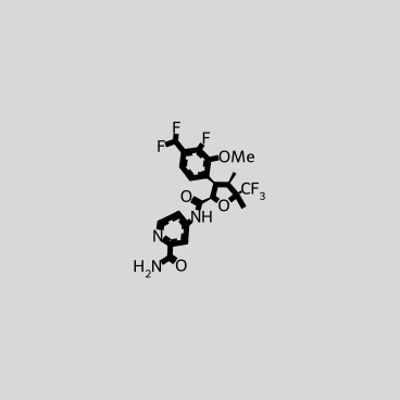 COc1c([C@H]2[C@@H](C)[C@](C)(C(F)(F)F)O[C@H]2C(=O)Nc2ccnc(C(N)=O)c2)ccc(C(F)F)c1F